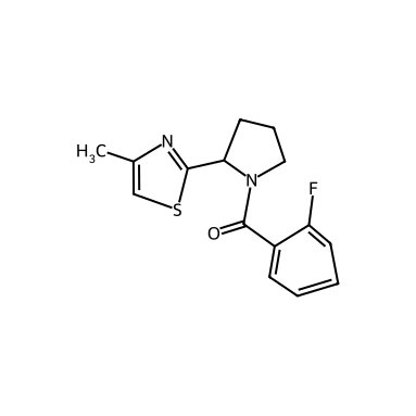 Cc1csc(C2CCCN2C(=O)c2ccccc2F)n1